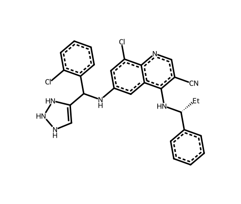 CC[C@@H](Nc1c(C#N)cnc2c(Cl)cc(NC(C3=CNNN3)c3ccccc3Cl)cc12)c1ccccc1